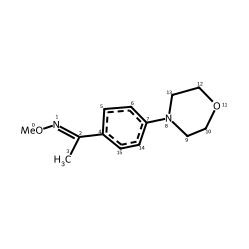 CO/N=C(\C)c1ccc(N2CCOCC2)cc1